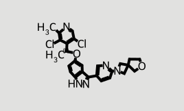 Cc1ncc(Cl)c([C@@H](C)Oc2ccc3[nH]nc(-c4ccc(N5CC6(CCOC6)C5)nc4)c3c2)c1Cl